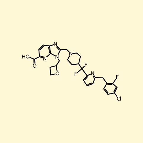 O=C(O)c1ccc2nc(CN3CCC(C(F)(F)c4cccc(Cc5ccc(Cl)cc5F)n4)CC3)n(CC3CCO3)c2n1